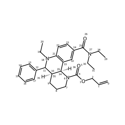 C=CCOC(=O)N1CCC[C@H]2C(c3ccccc3)N(CC)c3ccc(C(=O)N(CC)CC)cc3[C@H]21